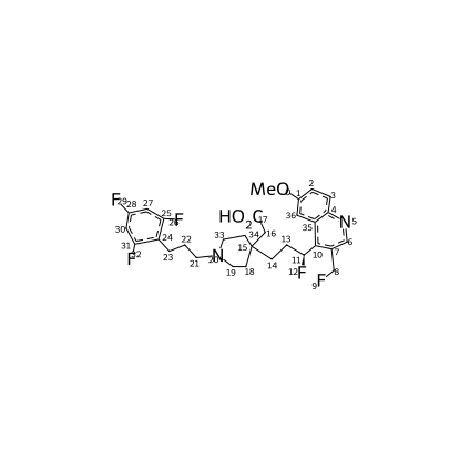 COc1ccc2ncc(CF)c([C@@H](F)CCC3(CC(=O)O)CCN(CCCc4c(F)cc(F)cc4F)CC3)c2c1